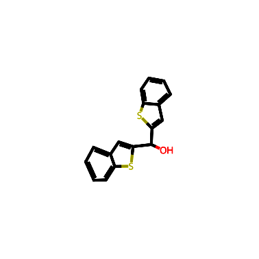 OC(c1cc2ccccc2s1)c1cc2ccccc2s1